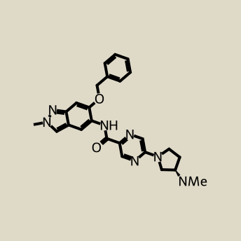 CN[C@@H]1CCN(c2cnc(C(=O)Nc3cc4cn(C)nc4cc3OCc3ccccc3)cn2)C1